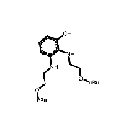 CCCCOCCNc1cccc(O)c1NCCOCCCC